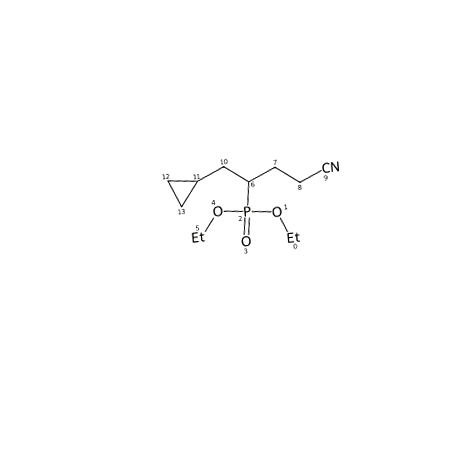 CCOP(=O)(OCC)C(CCC#N)CC1CC1